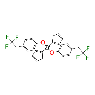 FC(F)(F)Cc1ccc([O][Zr]([O]c2ccc(CC(F)(F)F)cc2)([C]2=CC=CC2)[C]2=CC=CC2)cc1